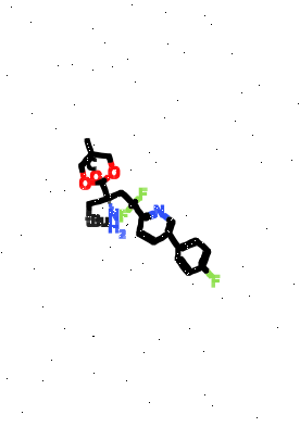 CC(C)(C)C[C@](N)(CC(F)(F)c1ccc(-c2ccc(F)cc2)cn1)C12OCC(C)(CO1)CO2